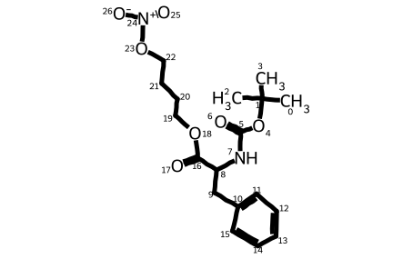 CC(C)(C)OC(=O)NC(Cc1ccccc1)C(=O)OCCCCO[N+](=O)[O-]